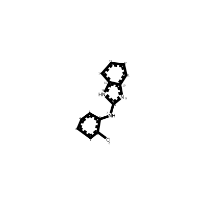 Clc1ccccc1Nc1nc2ccccc2[nH]1